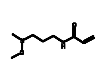 C=CC(=O)NCCCN(C)OC